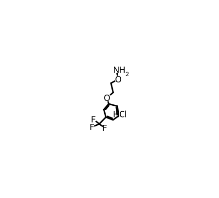 Cl.NOCCOc1cccc(C(F)(F)F)c1